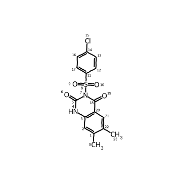 Cc1cc2[nH]c(=O)n(S(=O)(=O)c3ccc(Cl)cc3)c(=O)c2cc1C